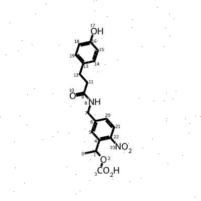 CC(OC(=O)O)c1cc(CNC(=O)CCc2ccc(O)cc2)ccc1[N+](=O)[O-]